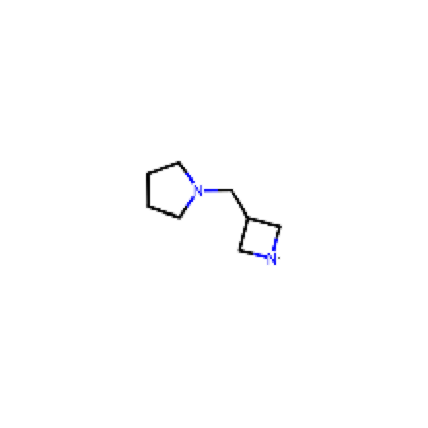 C1CCN(CC2C[N]C2)C1